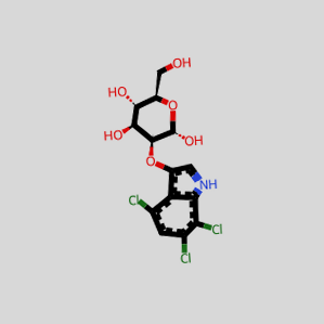 OC[C@H]1O[C@H](O)[C@@H](Oc2c[nH]c3c(Cl)c(Cl)cc(Cl)c23)[C@@H](O)[C@@H]1O